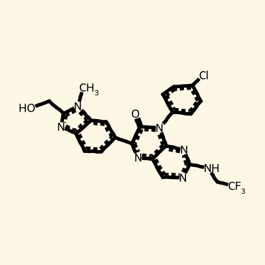 Cn1c(CO)nc2ccc(-c3nc4cnc(NCC(F)(F)F)nc4n(-c4ccc(Cl)cc4)c3=O)cc21